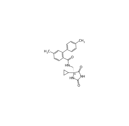 Cc1ccc(-c2cc(C)ccc2C(=O)NC[C@@]2(C3CC3)NC(=O)NC2=O)cc1